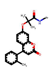 Cc1ccccc1-c1cc(=O)oc2cc(OC(C)(C)C(=O)NC(C)C)ccc12